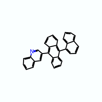 c1ccc2ncc(-c3c4ccccc4c(-c4cccc5ccccc45)c4ccccc34)cc2c1